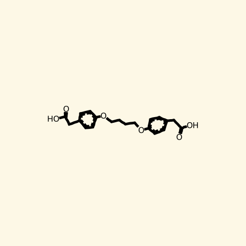 O=C(O)Cc1ccc(OCCCCOc2ccc(CC(=O)O)cc2)cc1